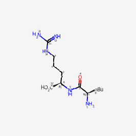 CCCC[C@@H](N)C(=O)N[C@H](CCCNC(=N)N)C(=O)O